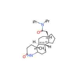 CC(C)N(C(=O)C[C@@]12CCC[C@H]1[C@@H]1CCC3NC(=O)CC[C@]3(C)[C@H]1CC2)C(C)C